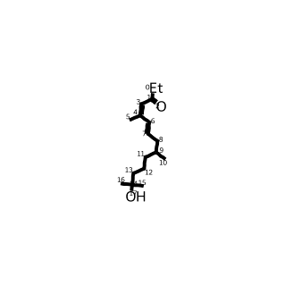 CCC(=O)C=C(C)C=CCC(C)CCCC(C)(C)O